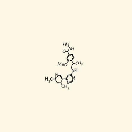 COc1cc(C(=O)NO)ccc1C(C)CNc1cc(C2=CN=C(C)CC2C)ncn1